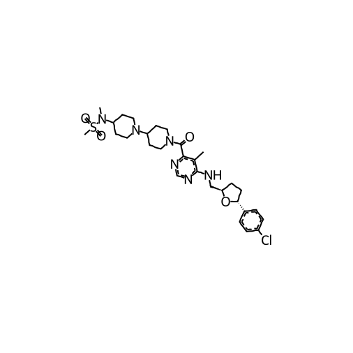 Cc1c(NC[C@H]2CC[C@H](c3ccc(Cl)cc3)O2)ncnc1C(=O)N1CCC(N2CCC(N(C)S(C)(=O)=O)CC2)CC1